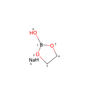 OB1OCCO1.[NaH]